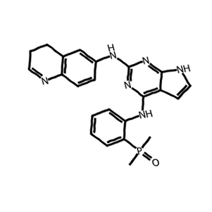 CP(C)(=O)c1ccccc1Nc1nc(Nc2ccc3c(c2)CCC=N3)nc2[nH]ccc12